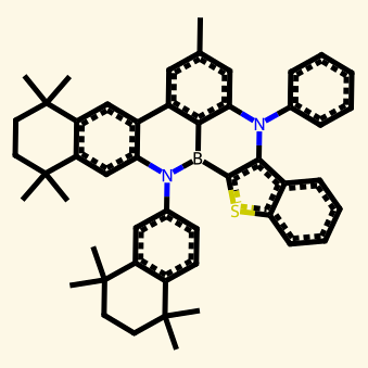 Cc1cc2c3c(c1)N(c1ccccc1)c1c(sc4ccccc14)B3N(c1ccc3c(c1)C(C)(C)CCC3(C)C)c1cc3c(cc1-2)C(C)(C)CCC3(C)C